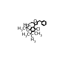 C=Cc1oc(Cc2ccccc2)cc1-c1cc(OC(C)=O)c(C(C)C)c(C)c1Cl